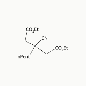 CCCCCC(C#N)(CC(=O)OCC)CC(=O)OCC